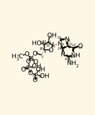 COP(=O)(OC[C@H]1O[C@@H](n2cnc3c(=O)[nH]c(N)nc32)[C@H](O)[C@@H]1O)OP(=O)(O)OP(=O)(O)O